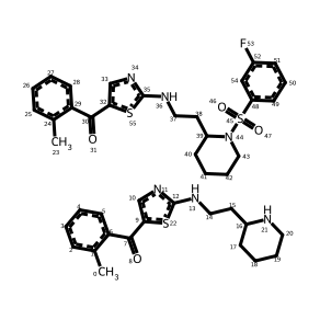 Cc1ccccc1C(=O)c1cnc(NCCC2CCCCN2)s1.Cc1ccccc1C(=O)c1cnc(NCCC2CCCCN2S(=O)(=O)c2cccc(F)c2)s1